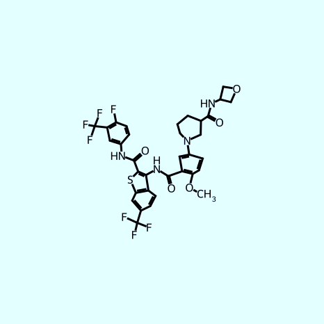 COc1ccc(N2CCCC(C(=O)NC3COC3)C2)cc1C(=O)Nc1c(C(=O)Nc2ccc(F)c(C(F)(F)F)c2)sc2cc(C(F)(F)F)ccc12